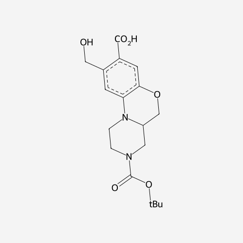 CC(C)(C)OC(=O)N1CCN2c3cc(CO)c(C(=O)O)cc3OCC2C1